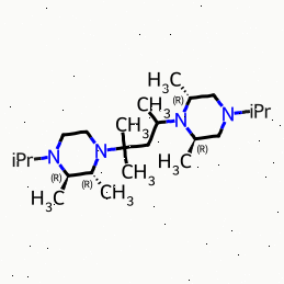 CC(C)N1C[C@@H](C)N(C(C)CC(C)(C)N2CCN(C(C)C)[C@H](C)[C@H]2C)[C@H](C)C1